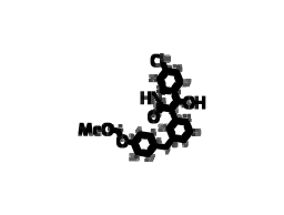 COCOc1ccc(Cc2cccc(-c3c(O)c4ccc(Cl)cc4[nH]c3=O)c2)cc1